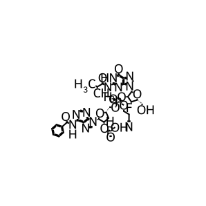 CC(C)C(=O)Nc1nc2c(ncn2[C@@H]2O[C@H](CO)[C@@H](F)[C@H]2OP(=O)(OCCC#N)OC[C@@H]2C[C@@H](O[PH](=O)O)[C@H](n3cnc4c(NC(=O)c5ccccc5)ncnc43)O2)c(=O)[nH]1